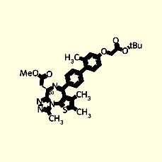 COC(=O)C[C@@H]1N=C(c2ccc(-c3ccc(OCC(=O)OC(C)(C)C)cc3C)cc2)c2c(sc(C)c2C)-n2c(C)nnc21